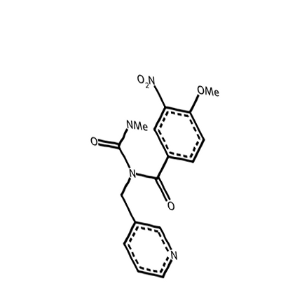 CNC(=O)N(Cc1cccnc1)C(=O)c1ccc(OC)c([N+](=O)[O-])c1